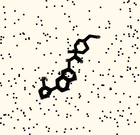 CC(C)CN1CCC(F)(C(=O)Nc2cc3cc(-c4nncn4C)ccc3nn2)CC1